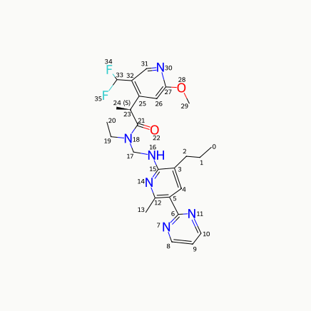 CCCc1cc(-c2ncccn2)c(C)nc1NCN(CC)C(=O)[C@@H](C)c1cc(OC)ncc1C(F)F